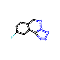 Fc1ccc2cnn3nnnc3c2c1